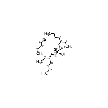 CCCCC(CC)COP(=O)(O)OCC(CC)CCCC.CCC[CH2][Ni]